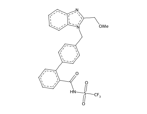 COCc1nc2ccccc2n1Cc1ccc(-c2ccccc2C(=O)NS(=O)(=O)C(F)(F)F)cc1